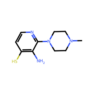 CN1CCN(c2nccc(S)c2N)CC1